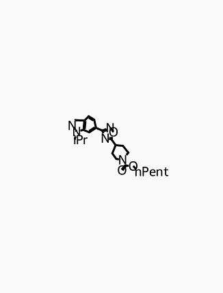 CCCCCOC(=O)N1CCC(c2nc(-c3ccc4cnn(C(C)C)c4c3)no2)CC1